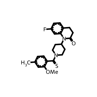 COc1cc(C)ccc1C(=S)N1CCC(N2C(=O)CCc3ccc(F)cc32)CC1